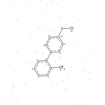 FC(F)(F)c1ccccc1-c1ccc([CH]Cl)cc1